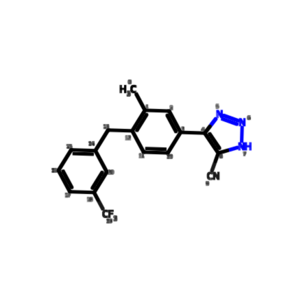 Cc1cc(-c2nn[nH]c2C#N)ccc1Cc1cccc(C(F)(F)F)c1